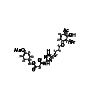 CCCc1c(OCCCSc2nc(NC(=O)CC(=O)OCc3ccc(OC)cc3)n[nH]2)ccc(C(C)=O)c1O